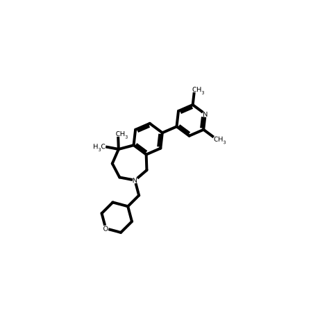 Cc1cc(-c2ccc3c(c2)CN(CC2CCOCC2)CCC3(C)C)cc(C)n1